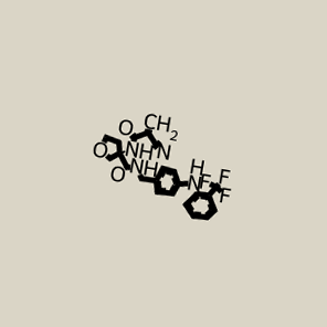 C=C(C#N)C(=O)N[C@@]1(C(=O)NCc2ccc(Nc3ccccc3C(F)(F)F)cc2)CCOC1